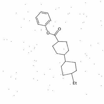 CCC1CCC(C2CCC(C(=O)Oc3ccccc3)CC2)CC1